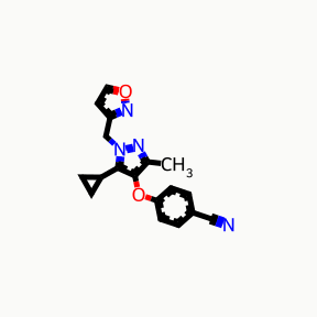 Cc1nn(Cc2ccon2)c(C2CC2)c1Oc1ccc(C#N)cc1